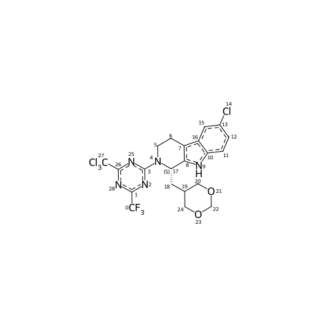 FC(F)(F)c1nc(N2CCc3c([nH]c4ccc(Cl)cc34)[C@@H]2CC2COCOC2)nc(C(Cl)(Cl)Cl)n1